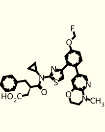 CN1CCOc2cc(-c3ccc(OCF)cc3-c3csc(N(C(=O)[C@@H](CC(=O)O)Cc4ccccc4)C4CC4)n3)cnc21